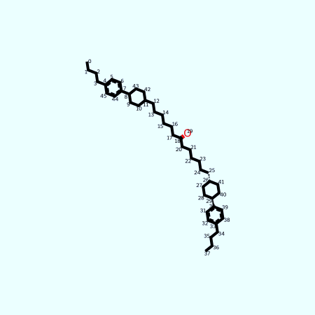 CCCCc1ccc(C2CCC(CCCCCCC(=O)CCCCCC[C@H]3CC[C@H](c4ccc(CCCC)cc4)CC3)CC2)cc1